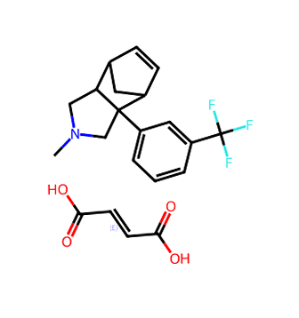 CN1CC2C3C=CC(C3)C2(c2cccc(C(F)(F)F)c2)C1.O=C(O)/C=C/C(=O)O